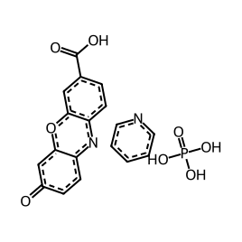 O=C(O)c1ccc2nc3ccc(=O)cc-3oc2c1.O=P(O)(O)O.c1ccncc1